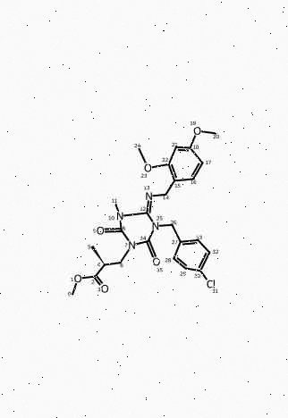 COC(=O)[C@@H](C)Cn1c(=O)n(C)c(=NCc2ccc(OC)cc2OC)n(Cc2ccc(Cl)cc2)c1=O